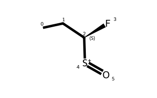 CC[C@@H](F)[S+]=O